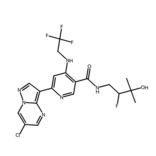 CC(C)(O)C(F)CNC(=O)c1cnc(-c2cnn3cc(Cl)cnc23)cc1NCC(F)(F)F